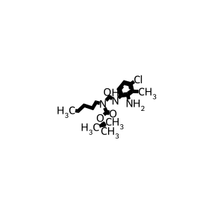 CCCCCN(C(=O)Nc1ccc(Cl)c(C)c1N)C(=O)OC(C)(C)C